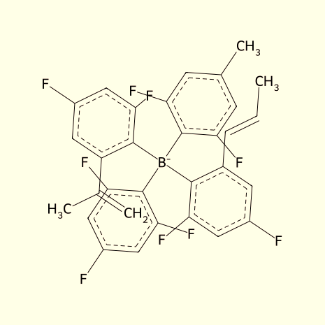 C=C(C)c1cc(F)cc(F)c1[B-](c1c(F)cc(C)cc1F)(c1c(F)cc(F)cc1F)c1c(F)cc(F)cc1/C=C/C